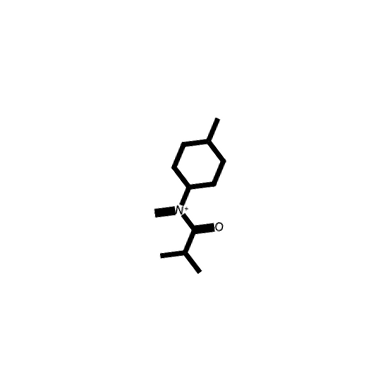 C=[N+](C(=O)C(C)C)C1CCC(C)CC1